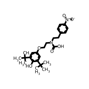 CC(C)(C)c1cc(OCCN(CCc2ccc([N+](=O)[O-])cc2)C(=O)O)cc(C(C)(C)C)c1O